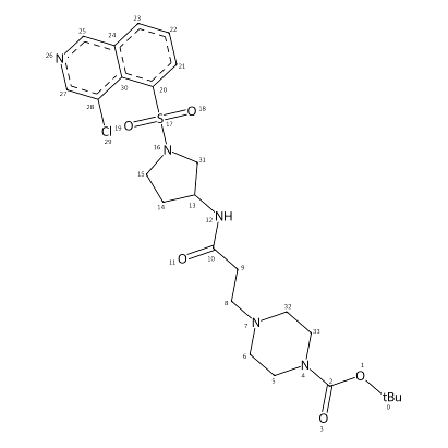 CC(C)(C)OC(=O)N1CCN(CCC(=O)NC2CCN(S(=O)(=O)c3cccc4cncc(Cl)c34)C2)CC1